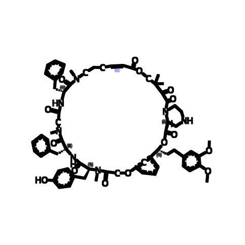 COc1ccc(CC[C@H]2OC(=O)[C@@H]3CNCCN3C(=O)C(=O)C(C)(C)COC(=O)/C=C/CCCN(C)C(=O)[C@@H](Cc3ccccc3)NC(=O)CN(C)C(=O)[C@@H](Cc3ccccc3)NC(=O)[C@H](Cc3ccc(O)cc3)N(C)C(=O)COc3cccc2c3)cc1OC